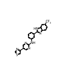 FC(F)(F)c1ccc2nc(-c3cccc(Nc4ncc(-c5cscn5)cn4)c3)[nH]c2c1